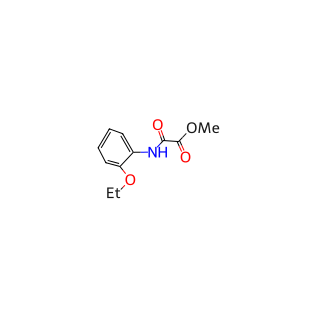 CCOc1ccccc1NC(=O)C(=O)OC